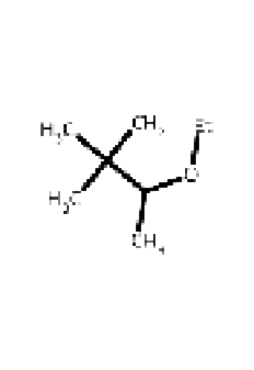 CCOC(C)C(C)(C)C